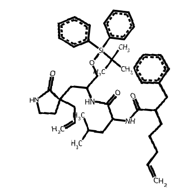 C=CCCCC(Cc1ccccc1)C(=O)NC(CC(C)C)C(=O)NC(CO[Si](c1ccccc1)(c1ccccc1)C(C)(C)C)CC1(CC=C)CCNC1=O